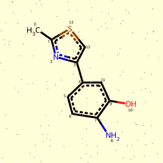 Cc1nc(-c2ccc(N)c(O)c2)cs1